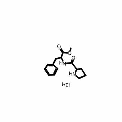 COC(=O)C(Cc1ccccc1)NC(=O)C1CCCN1.Cl